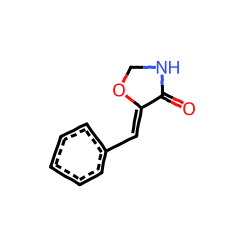 O=C1NCO/C1=C\c1ccccc1